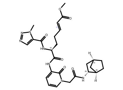 COC(=O)/C=C/CC[C@H](NC(=O)c1cnnn1C)C(=O)Nc1cccn(CC(=O)N[C@@H]2C[C@H]3CC[C@@H]2C3)c1=O